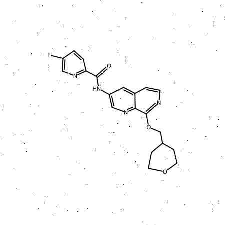 O=C(Nc1cnc2c(OCC3CCOCC3)nccc2c1)c1ccc(F)cn1